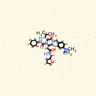 CC(C)C[C@@H]1C(=O)N(Cc2ccc(N(C)C)cc2)C[C@@H](CC(=O)NCC2CCCO2)N1C(=O)NC1CCCCC1